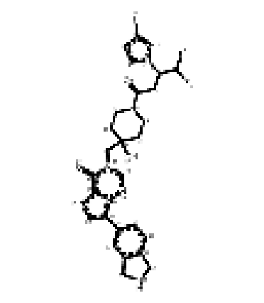 O=C(CC(C(F)F)n1ccc(F)n1)N1CCC(O)(Cn2cnn3c(-c4ccc5c(c4)CNC5)cnc3c2=O)CC1